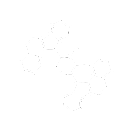 N#Cc1c(-n2c3ccccc3c3ccc4ccccc4c32)ccc(-n2c3ccccc3c3ccc4ccccc4c32)c1C#N